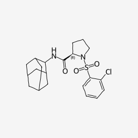 O=C(NC1C2CC3CC(C2)CC1C3)[C@H]1CCCN1S(=O)(=O)c1ccccc1Cl